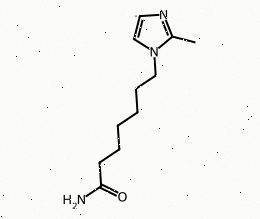 Cc1n[c]cn1CCCCCCC(N)=O